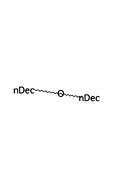 CCCCCCCCCCCCCCCCCCCCCCCCOCCCCCCCCCCCCCCCCCCCC